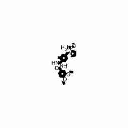 CCOc1ccc(C(=O)NC(=N)c2ccc(CN3CCCC3P(N)OC)cc2C)cc1OCC